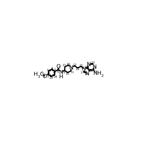 COc1ccc(C(=O)NC2CCN(CCCn3cnc4c(N)ncnc43)CC2)cc1